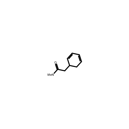 CNC(=O)CC1C=CC=CC1